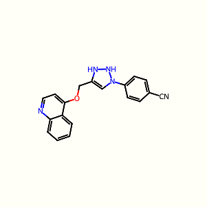 N#Cc1ccc(N2C=C(COc3ccnc4ccccc34)NN2)cc1